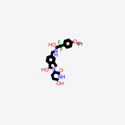 CC(C)Oc1ccc(C(F)(F)C(O)NCc2ccc3c(c2)CN(C2CC[C@@H](O)NC2=O)[C@H]3O)cc1